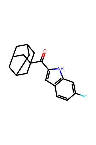 O=C(c1cc2ccc(F)cc2[nH]1)C12CC3CC(CC(C3)C1)C2